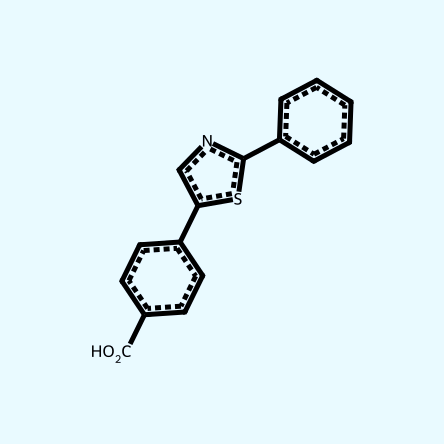 O=C(O)c1ccc(-c2cnc(-c3ccccc3)s2)cc1